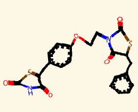 O=C1NC(=O)C(c2ccc(OCCN3C(=O)SC(Cc4ccccc4)C3=O)cc2)S1